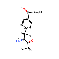 C=C(C)C(=O)C(=N)C(C)(C)c1ccc(C(=O)C(=O)OCC)cc1